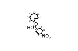 O=[N+]([O-])[C@@H]1C=CC([C@H](O)OC2/C=C/CCCCC2)CC1